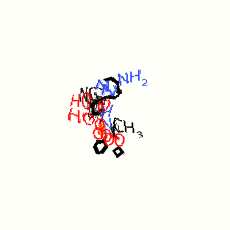 C[C@H](NP(=O)(OC[C@H]1O[C@@](C#N)(c2ccc3c(N)ccnn23)[C@H](O)[C@@H]1O)Oc1ccccc1)C(=O)OC1CCC1